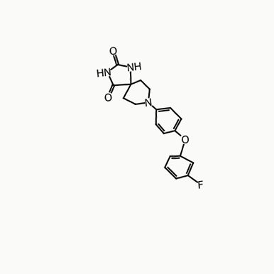 O=C1NC(=O)C2(CCN(c3ccc(Oc4cccc(F)c4)cc3)CC2)N1